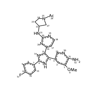 COc1cc(-c2[nH]c(-c3ccc(F)cc3)nc2-c2ccnc(NC3CCN(C(C)=O)C3)n2)cnc1N